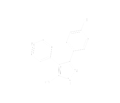 CC(C)c1[nH]nc(-c2ccc(Cl)cc2)c1-c1ccncc1